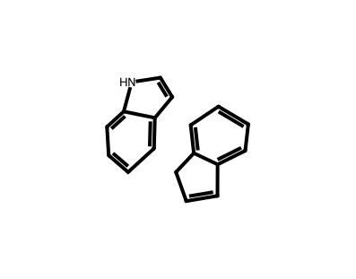 C1=Cc2ccccc2C1.c1ccc2[nH]ccc2c1